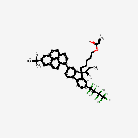 C=CC(=O)OCCCCCC1(C(=C)CC)c2cc(-c3ccc4ccc5cc(C(C)(C)C)cc6ccc3c4c56)ccc2-c2ccc(C(F)(F)C(F)(F)C(F)(F)C(F)(F)F)cc21